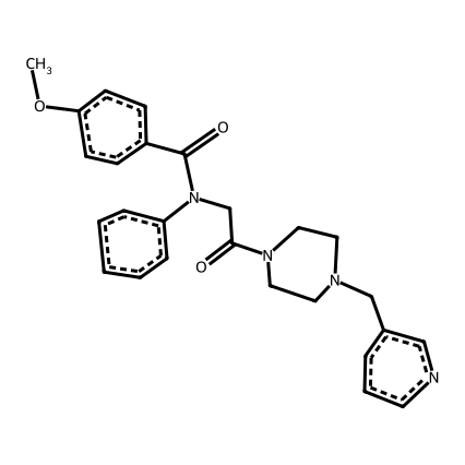 COc1ccc(C(=O)N(CC(=O)N2CCN(Cc3cccnc3)CC2)c2ccccc2)cc1